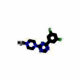 CN1CCN(c2ncnc(-c3cc(F)cc(F)c3)n2)CC1